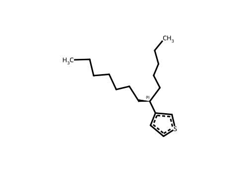 CCCCCCC[C@@H](CCCCC)c1ccsc1